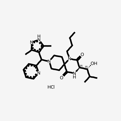 CCCCN1C(=O)[C@@H]([C@H](O)C(C)C)NC(=O)C12CCN(C(c1ccccn1)c1c(C)n[nH]c1C)CC2.Cl